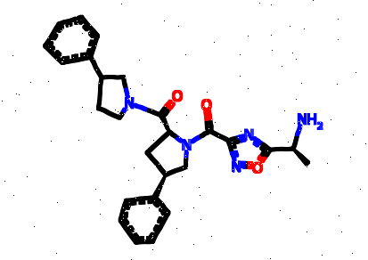 C[C@H](N)c1nc(C(=O)N2C[C@@H](c3ccccc3)C[C@H]2C(=O)N2CCC(c3ccccc3)C2)no1